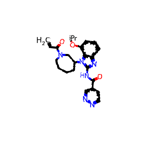 C=CC(=O)N1CCCCC(n2c(NC(=O)c3ccnnc3)nc3cccc(OC(C)C)c32)C1